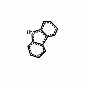 [c]1ccc2[nH]c3[c]cccc3c2c1